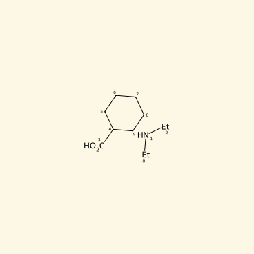 CCNCC.O=C(O)C1CCCCC1